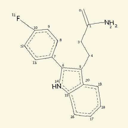 C=C(N)CCc1c(-c2ccc(F)cc2)[nH]c2ccccc12